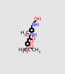 COc1ccc2cc(C(=O)Nc3ccc(CNCCO)cc3C)c(=O)oc2c1OC(C)C